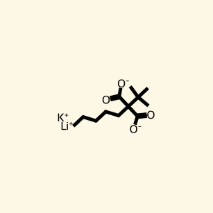 CCCCCC(C(=O)[O-])(C(=O)[O-])C(C)(C)C.[K+].[Li+]